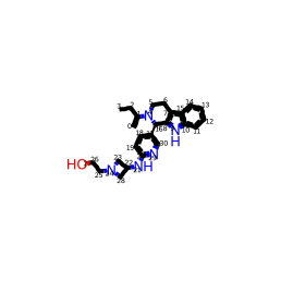 C=C(CC)N1CCc2c([nH]c3ccccc23)[C@H]1c1ccc(NC2CN(CCO)C2)nc1